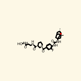 C[C@]12CC3CC(NC(=O)Nc4ccc(C(=O)N5CCC[C@H](C(=O)NCCC(=O)NO)C5)cc4F)(C1)C[C@@](C)(C3)C2